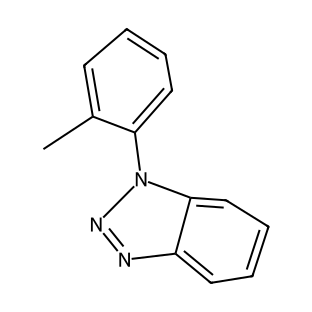 Cc1ccccc1-n1nnc2ccccc21